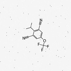 CC(C)c1c(C#N)cc(OC(F)(F)F)cc1C#N